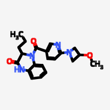 CCCC1C(=O)Nc2ccccc2N1C(=O)c1ccc(N2CC(OC)C2)nc1